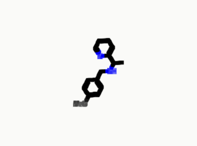 COc1ccc(CNC(C)c2ccccn2)cc1